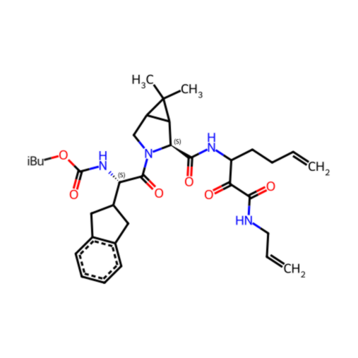 C=CCCC(NC(=O)[C@@H]1C2C(CN1C(=O)[C@@H](NC(=O)OC(C)CC)C1Cc3ccccc3C1)C2(C)C)C(=O)C(=O)NCC=C